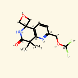 CC1(C)C(=O)NC2(COC2)c2ccc(COC(F)F)nc21